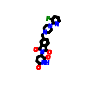 O=C1CCC(N2C(=O)c3ccc(CN4CCN(c5ncccc5F)CC4)cc3C2=O)C(=O)N1